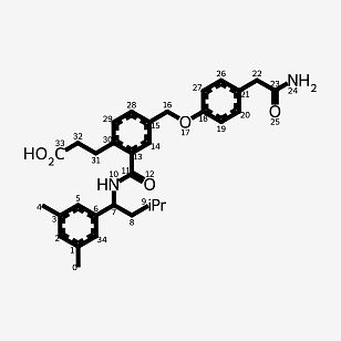 Cc1cc(C)cc(C(CC(C)C)NC(=O)c2cc(COc3ccc(CC(N)=O)cc3)ccc2CCC(=O)O)c1